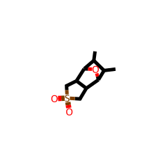 CC1C(C)C2OC1C1CS(=O)(=O)CC12